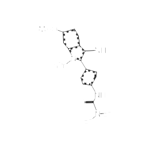 CCCn1c(-c2ccc(NC(=O)N(CC)CC)cc2)c(N)c2ccc(OC)cc21